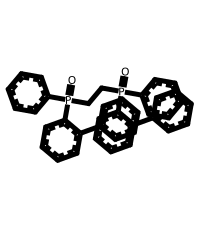 O=P(CCP(=O)(c1ccccc1)c1ccccc1-c1ccccc1)(c1ccccc1)c1ccccc1-c1ccccc1